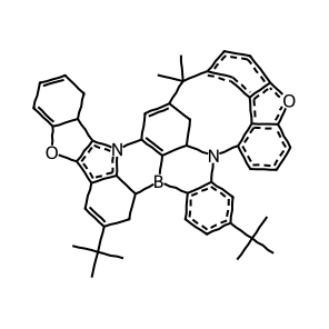 CC(C)(C)C1=Cc2c3c(n4c2C(C1)B1C2=C4C=C4CC2N(c2cc(C(C)(C)C)ccc21)c1cccc2oc5ccc(cc5c12)C4(C)C)C1CC=CC=C1O3